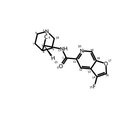 O=C(N[C@H]1CN2CCC1CC2)c1cc2c(F)coc2cn1